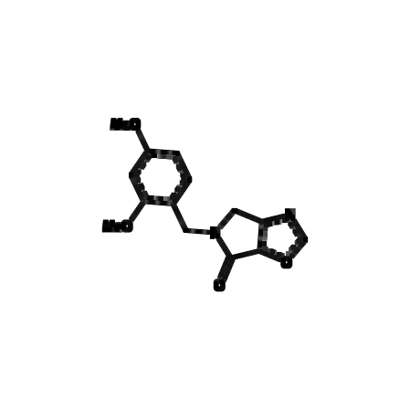 COc1ccc(CN2Cc3ncoc3C2=O)c(OC)c1